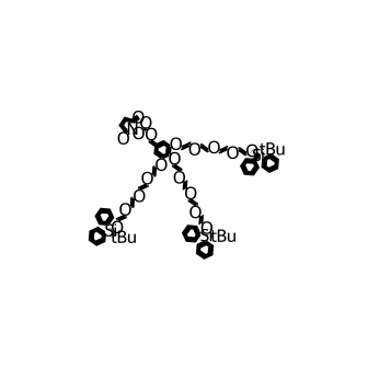 CC(C)(C)[Si](OCCOCCOCCOCCOc1cc(COC(=O)ON2C(=O)CCC2=O)cc(OCCOCCOCCOCCO[Si](c2ccccc2)(c2ccccc2)C(C)(C)C)c1OCCOCCOCCOCCO[Si](c1ccccc1)(c1ccccc1)C(C)(C)C)(c1ccccc1)c1ccccc1